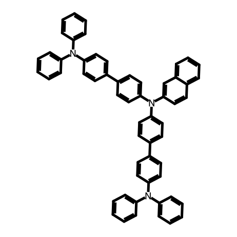 c1ccc(N(c2ccccc2)c2ccc(-c3ccc(N(c4ccc(-c5ccc(N(c6ccccc6)c6ccccc6)cc5)cc4)c4ccc5ccccc5c4)cc3)cc2)cc1